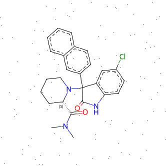 CN(C)C(=O)[C@@H]1CCCCN1C1(c2ccc3ccccc3c2)C(=O)Nc2ccc(Cl)cc21